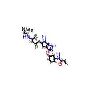 C=CC(=O)Nc1cccc(Oc2ncnc3[nH]c(-c4ccc(NCCNC)cc4F)cc23)c1